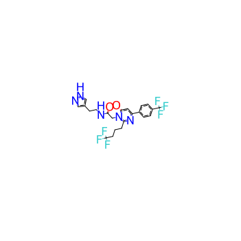 O=C(Cn1c(CCCC(F)(F)F)nc(-c2ccc(C(F)(F)F)cc2)cc1=O)NCCc1cn[nH]c1